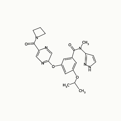 CC(C)Oc1cc(Oc2cnc(C(=O)N3CCC3)cn2)cc(C(=O)N(C)c2cc[nH]n2)c1